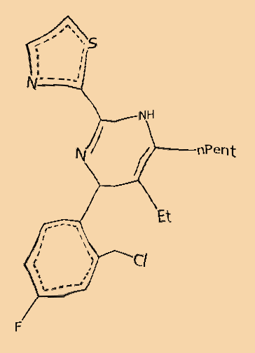 CCCCCC1=C(CC)C(c2ccc(F)cc2Cl)N=C(c2nccs2)N1